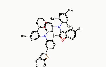 Cc1cc(C(C)(C)C)cc(C)c1N1c2cccc3c2B(c2ccc(-c4cc5ccccc5s4)cc2N3c2ccc(C(C)(C)C)cc2-c2ccccc2)c2oc3ccc(C(C)(C)C)cc3c21